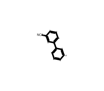 N#Cc1cccc(-c2c[c]ccc2)c1